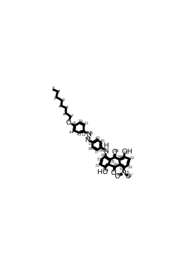 CCCCCCCCOc1ccc(N=Nc2ccc(Nc3ccc(O)c4c3C(=O)c3c(O)ccc([N+](=O)[O-])c3C4=O)cc2)cc1